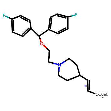 CCOC(=O)/C=C/C1CCN(CCOC(c2ccc(F)cc2)c2ccc(F)cc2)CC1